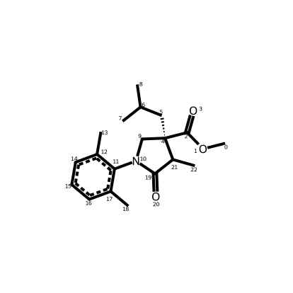 COC(=O)[C@]1(CC(C)C)CN(c2c(C)cccc2C)C(=O)C1C